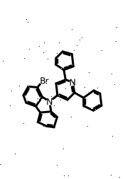 Brc1cccc2c3ccccc3n(-c3cc(-c4ccccc4)nc(-c4ccccc4)c3)c12